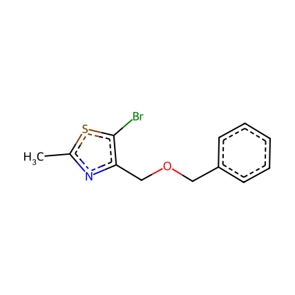 Cc1nc(COCc2ccccc2)c(Br)s1